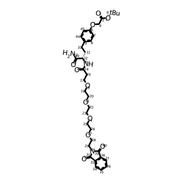 CC(C)(C)OC(=O)COc1ccc(CC[C@H](NC(=O)CCOCCOCCOCCOCCN2C(=O)c3ccccc3C2=O)C(N)=O)cc1